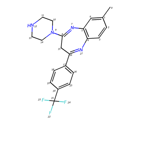 Cc1ccc2c(c1)N=C(N1CCNCC1)CC(c1ccc(C(F)(F)F)cc1)=N2